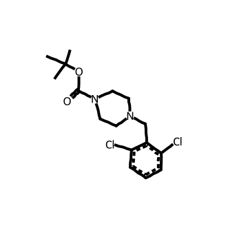 CC(C)(C)OC(=O)N1CCN(Cc2c(Cl)cccc2Cl)CC1